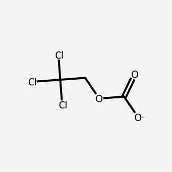 [O]C(=O)OCC(Cl)(Cl)Cl